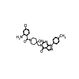 Cc1ccc(-n2ncc3c(=O)n(CC4(O)CCN(C(=O)c5ccc(Cl)cc5N)CC4)cnc32)cc1